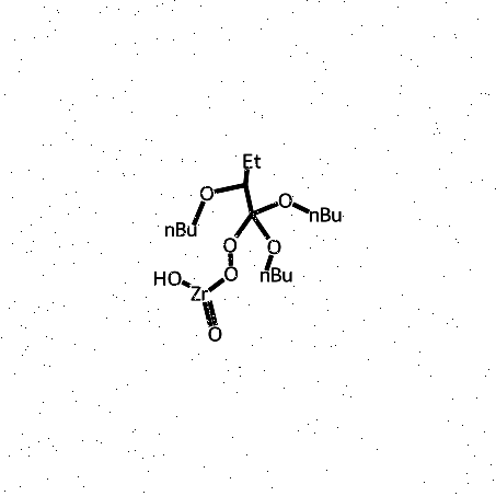 CCCCOC(CC)C(OCCCC)(OCCCC)O[O][Zr](=[O])[OH]